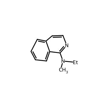 CCN(C)c1nccc2ccccc12